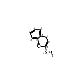 [SiH3]C1=CCc2ccccc2O1